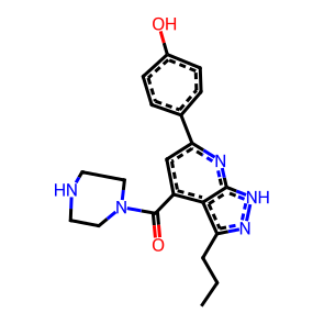 CCCc1n[nH]c2nc(-c3ccc(O)cc3)cc(C(=O)N3CCNCC3)c12